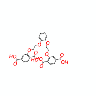 O=C(O)c1ccc(C(=O)O)c(OCCOc2ccccc2OCCOc2cc(C(=O)O)ccc2C(=O)O)c1